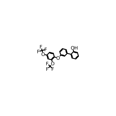 Oc1ccccc1-c1cccc(Oc2ccc(OC(F)(F)F)cc2OC(F)(F)F)c1